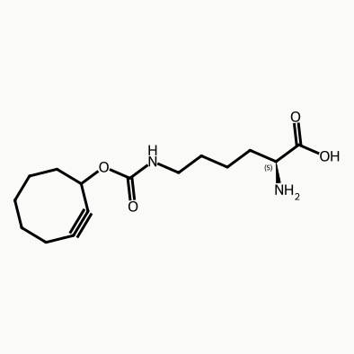 N[C@@H](CCCCNC(=O)OC1C#CCCCCC1)C(=O)O